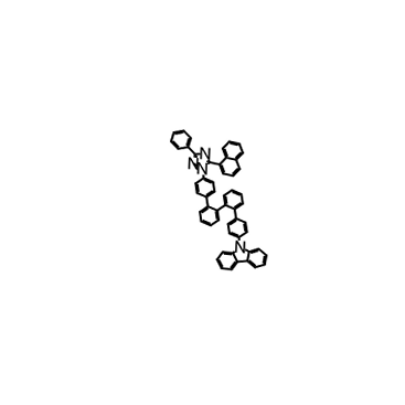 c1ccc(-c2nc(-c3cccc4ccccc34)n(-c3ccc(-c4ccccc4-c4ccccc4-c4ccc(-n5c6ccccc6c6ccccc65)cc4)cc3)n2)cc1